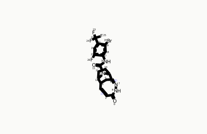 O=C1/C=C\C2C/C(=N\N1)C1CCC2N1C(=O)Nc1cc(Br)c(C(F)(F)F)cc1F